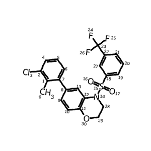 Cc1c(Cl)cccc1-c1ccc2c(c1)N(S(=O)(=O)c1cccc(C(F)(F)F)c1)CCO2